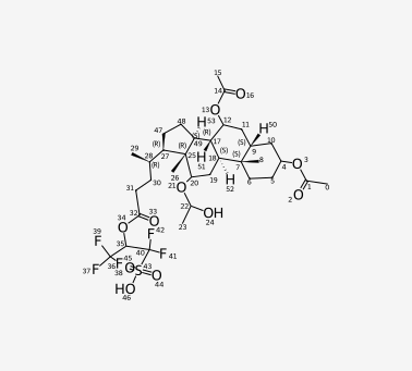 CC(=O)OC1CC[C@@]2(C)[C@@H](C1)CC(OC(C)=O)[C@@H]1[C@@H]2CC(OC(C)O)[C@]2(C)[C@@H]([C@H](C)CCC(=O)OC(C(F)(F)F)C(F)(F)S(=O)(=O)O)CC[C@@H]12